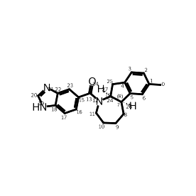 Cc1ccc2c(c1)[C@H]1CCCCN(C(=O)c3ccc4[nH]cnc4c3)[C@H]1C2